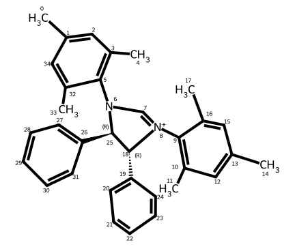 Cc1cc(C)c(N2C=[N+](c3c(C)cc(C)cc3C)[C@H](c3ccccc3)[C@H]2c2ccccc2)c(C)c1